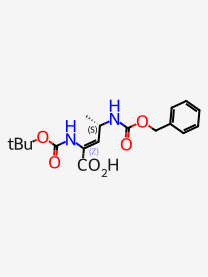 C[C@@H](/C=C(\NC(=O)OC(C)(C)C)C(=O)O)NC(=O)OCc1ccccc1